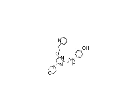 Oc1ccc(NN=Cc2nc(OCCc3ccccn3)cc(N3CCOCC3)n2)cc1